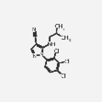 CC(C)CNc1c(C#N)cnn1-c1ccc(Cl)c(Cl)c1Cl